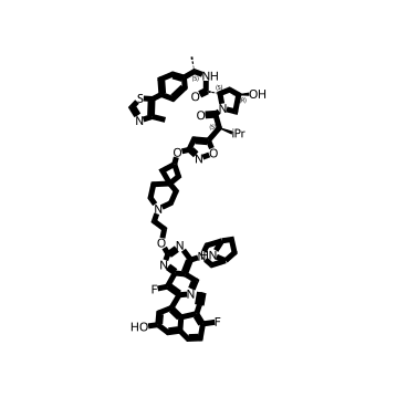 C#Cc1c(F)ccc2cc(O)cc(-c3ncc4c(N5CC6CCC(C5)N6)nc(OCCN5CCC6(CC5)CC(Oc5cc([C@@H](C(=O)N7C[C@H](O)C[C@H]7C(=O)N[C@@H](C)c7ccc(-c8scnc8C)cc7)C(C)C)on5)C6)nc4c3F)c12